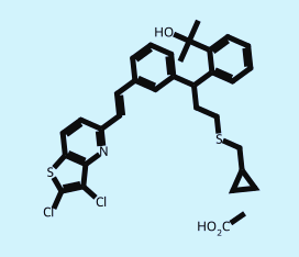 CC(=O)O.CC(C)(O)c1ccccc1C(CCSCC1CC1)c1cccc(/C=C/c2ccc3sc(Cl)c(Cl)c3n2)c1